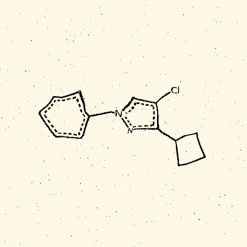 Clc1cn(-c2ccccc2)nc1C1CCC1